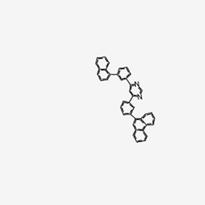 c1cc(-c2cc(-c3cccc(-c4cc5ccccc5c5ccccc45)c3)ncn2)cc(-c2cccc3ccccc23)c1